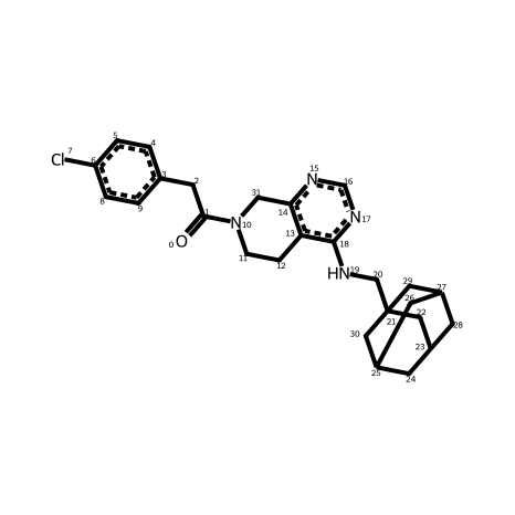 O=C(Cc1ccc(Cl)cc1)N1CCc2c(ncnc2NCC23CC4CC(CC(C4)C2)C3)C1